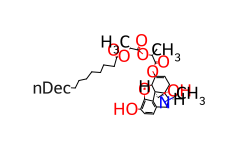 CCCCCCCCCCCCCCCCCC(=O)O[C@@H](C)C(=O)O[C@@H](C)C(=O)OC1=CC[C@@]2(O)[C@H]3Cc4ccc(O)c5c4[C@@]2(CCN3C)[C@H]1O5